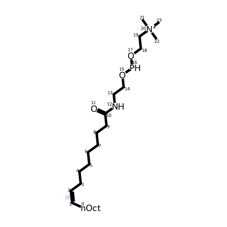 CCCCCCCC/C=C\CCCCCCCC(=O)NCCOPOCC[N+](C)(C)C